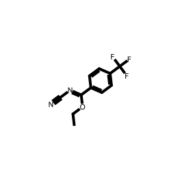 CCOC(=NC#N)c1ccc(C(F)(F)F)cc1